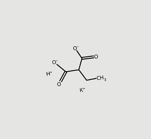 CCC(C(=O)[O-])C(=O)[O-].[H+].[K+]